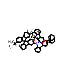 CC(C)(C)c1ccc2c(c1)C1(c3ccccc3-c3cc(N(c4ccccc4-c4ccc(C56CC7CC(CC(C7)C5)C6)cc4)c4cccc5c4C(C)(C)c4ccccc4-5)ccc31)c1cc(C(C)(C)C)ccc1-2